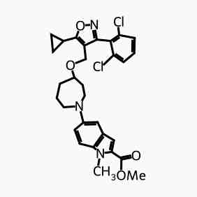 COC(=O)c1cc2cc(N3CCCC(OCc4c(-c5c(Cl)cccc5Cl)noc4C4CC4)CC3)ccc2n1C